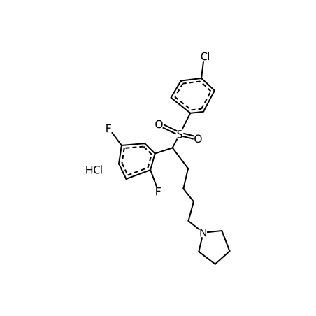 Cl.O=S(=O)(c1ccc(Cl)cc1)C(CCCCN1CCCC1)c1cc(F)ccc1F